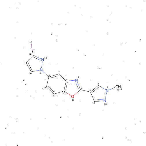 Cn1cc(-c2nc3cc(-n4ccc(I)n4)ccc3o2)cn1